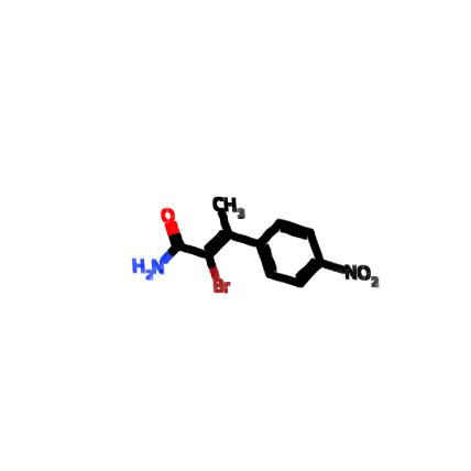 CC(=C(Br)C(N)=O)c1ccc([N+](=O)[O-])cc1